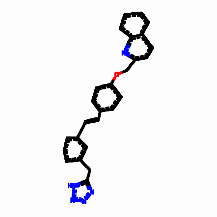 C(=Cc1cccc(Cc2nnn[nH]2)c1)c1ccc(OCc2ccc3ccccc3n2)cc1